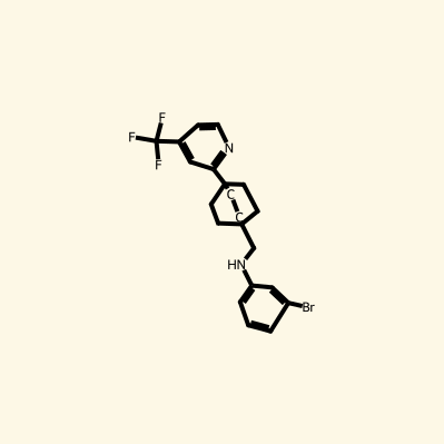 FC(F)(F)c1ccnc(C23CCC(CNc4cccc(Br)c4)(CC2)CC3)c1